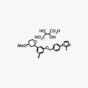 COC1CCOC(c2cc(F)cc(OCc3ccc(-n4ccnc4C)cc3)c2)C1.O=C(O)C(O)C(O)C(=O)O